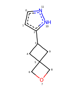 c1cc(C2CC3(COC3)C2)[nH]n1